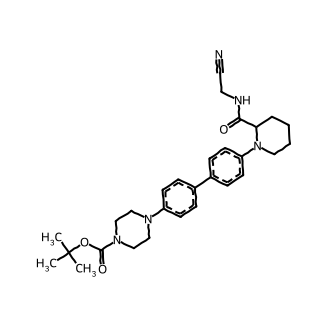 CC(C)(C)OC(=O)N1CCN(c2ccc(-c3ccc(N4CCCCC4C(=O)NCC#N)cc3)cc2)CC1